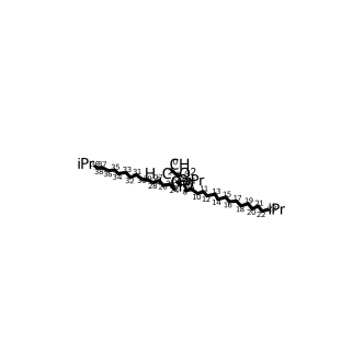 C=C(C)C(=O)[O][Ti](=[O])([CH2]CCCCCCCCCCCCCCC(C)C)([CH2]CCCCCCCCCCCCCCC(C)C)[O]C(C)C